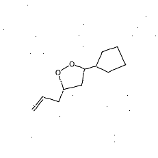 C=CCC1CC(C2CCCC2)OO1